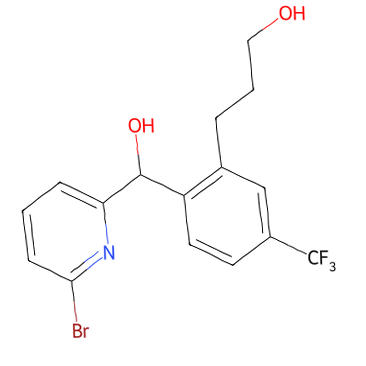 OCCCc1cc(C(F)(F)F)ccc1C(O)c1cccc(Br)n1